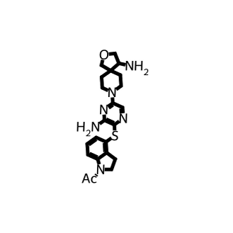 CC(=O)N1CCc2c(Sc3ncc(N4CCC5(CC4)COCC5N)nc3N)cccc21